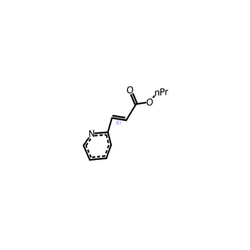 CCCOC(=O)/C=C/c1ccccn1